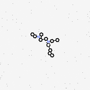 CC1(N(c2ccc(-c3ccccc3)cc2)c2cccc(-c3cccc4c3c3ccccc3n4-c3ccc4ccccc4c3)c2)C=CC(c2ccc3c(ccc4ccccc43)c2)=CC1